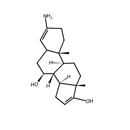 C[C@]12CCC(N)=CC1C[C@H](O)[C@@H]1[C@@H]2CC[C@]2(C)C(O)=CC[C@@H]12